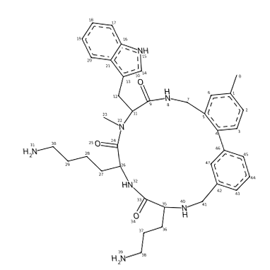 Cc1ccc2c(c1)CNC(=O)C(Cc1c[nH]c3ccccc13)N(C)C(=O)C(CCCCN)NC(=O)C(CCCN)NCc1cccc-2c1